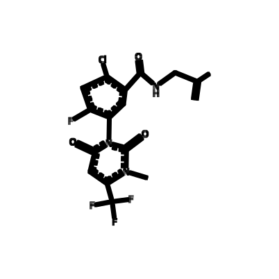 C=C(C)CNC(=O)c1cc(-n2c(=O)cc(C(F)(F)F)n(C)c2=O)c(F)cc1Cl